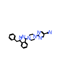 N#Cc1cnc(N2CCN(c3nnc(Cc4ccccc4)c4ccccc34)CC2)nc1